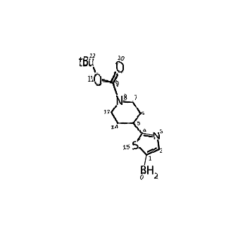 Bc1cnc(C2CCN(C(=O)OC(C)(C)C)CC2)s1